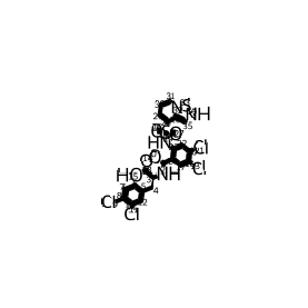 O=C(N[C@@H](Cc1ccc(Cl)c(Cl)c1)C(=O)O)c1cc(Cl)c(Cl)cc1NS(=O)(=O)C1=CC=CN2SNC=C12